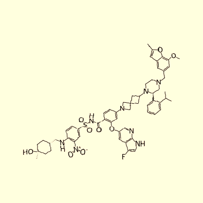 COc1cc(CN2CCN(C3CC4(C3)CN(c3ccc(C(=O)NS(=O)(=O)c5ccc(NC[C@H]6CC[C@](C)(O)CC6)c([N+](=O)[O-])c5)c(Oc5cnc6[nH]cc(F)c6c5)c3)C4)[C@H](c3ccccc3C(C)C)C2)cc2cc(C)oc12